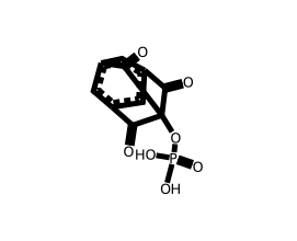 O=C1c2cc3cc(c2)C(=O)C1(OP(=O)(O)O)C3=O